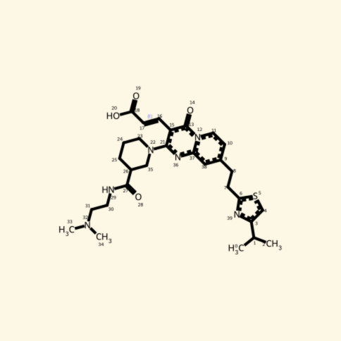 CC(C)c1csc(CCc2ccn3c(=O)c(/C=C/C(=O)O)c(N4CCCC(C(=O)NCCN(C)C)C4)nc3c2)n1